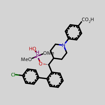 CO[PH](O)(OC)O[C@@H](c1ccccc1-c1ccc(Cl)cc1)C1CCN(c2ccc(C(=O)O)cc2)CC1